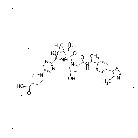 Cc1ncsc1-c1ccc(C(C)NC(=O)[C@@H]2C[C@@H](O)CN2C(=O)C(NC(=O)c2ncc(N3CCC(C(=O)O)CC3)cn2)C(C)(C)C)cc1